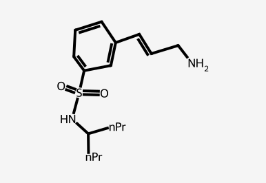 CCCC(CCC)NS(=O)(=O)c1cccc(/C=C/CN)c1